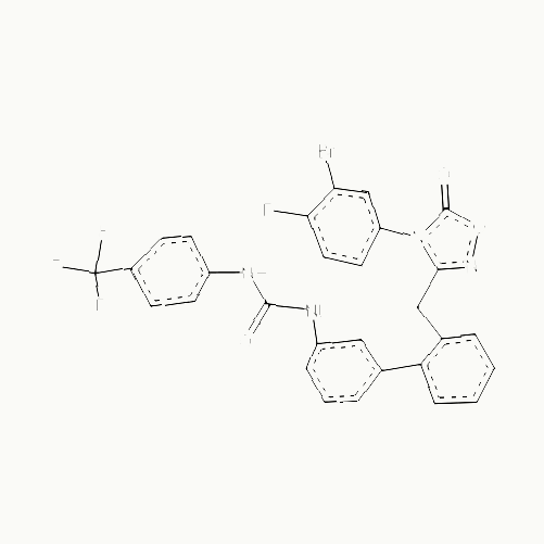 O=C(Nc1ccc(C(F)(F)F)cc1)Nc1cccc(-c2ccccc2Cc2noc(=O)n2-c2ccc(F)c(Br)c2)c1